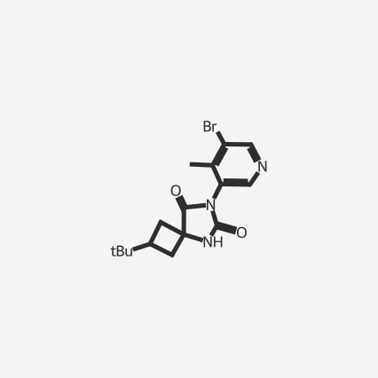 Cc1c(Br)cncc1N1C(=O)NC2(CC(C(C)(C)C)C2)C1=O